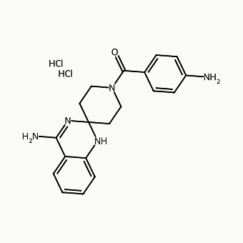 Cl.Cl.NC1=NC2(CCN(C(=O)c3ccc(N)cc3)CC2)Nc2ccccc21